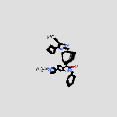 C#Cc1cnc(C[C@H]2CC[C@H](C(C(=O)NCc3ccccc3)c3ccc(-c4ccn(C)c4)cc3)CC2)nc1C1=CC=CC1